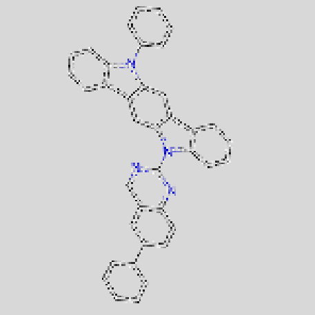 c1ccc(-c2ccc3nc(-n4c5ccccc5c5cc6c(cc54)c4ccccc4n6-c4ccccc4)ncc3c2)cc1